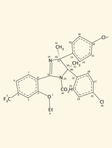 CCOc1cc(C(F)(F)F)ccc1C1=N[C@@](C)(c2ccc(Cl)cc2)[C@@](C)(c2ccc(Cl)cc2)N1C(=O)O